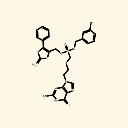 C=C1OC(COP(=O)(COCCn2cnc3c(=O)[nH]c(N)nc32)OCc2cccc(Br)c2)=C(c2ccccc2)O1